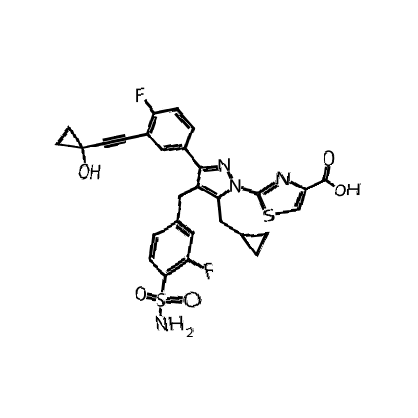 NS(=O)(=O)c1ccc(Cc2c(-c3ccc(F)c(C#CC4(O)CC4)c3)nn(-c3nc(C(=O)O)cs3)c2CC2CC2)cc1F